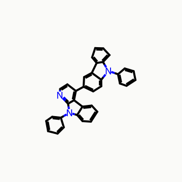 c1ccc(-n2c3ccccc3c3cc(-c4ccnc5c4c4ccccc4n5-c4ccccc4)ccc32)cc1